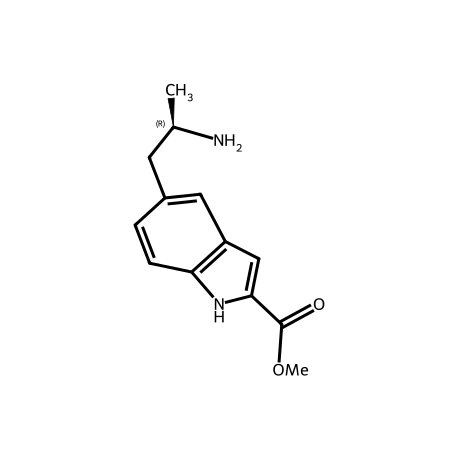 COC(=O)c1cc2cc(C[C@@H](C)N)ccc2[nH]1